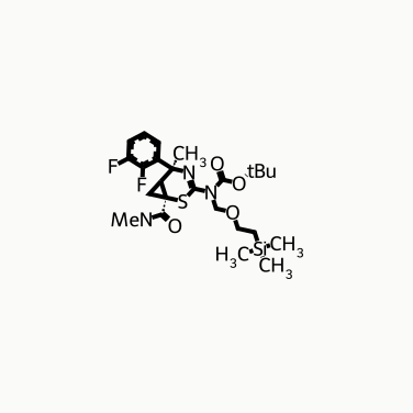 CNC(=O)[C@]12CC1[C@@](C)(c1cccc(F)c1F)N=C(N(COCC[Si](C)(C)C)C(=O)OC(C)(C)C)S2